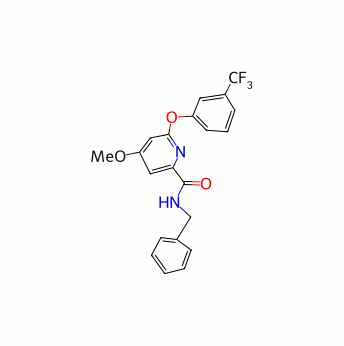 COc1cc(Oc2cccc(C(F)(F)F)c2)nc(C(=O)NCc2ccccc2)c1